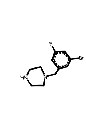 Fc1cc(Br)cc(CN2CCNCC2)c1